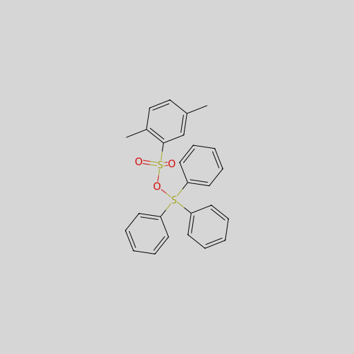 Cc1ccc(C)c(S(=O)(=O)OS(c2ccccc2)(c2ccccc2)c2ccccc2)c1